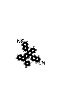 N#Cc1ccc2cc(-c3c4ccccc4c(-c4ccc5cc(C#N)ccc5c4)c4cc5c(cc34)c(-c3ccccc3)cc3ccccc35)ccc2c1